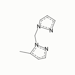 Cc1ccnn1Cn1cccn1